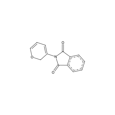 O=C1c2ccccc2C(=O)N1C1=CC=COC1